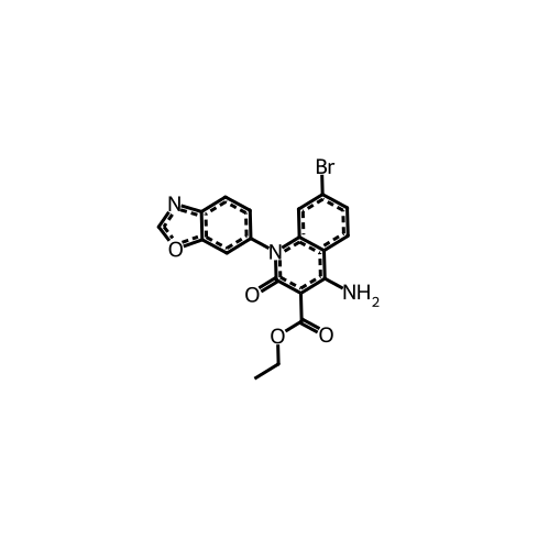 CCOC(=O)c1c(N)c2ccc(Br)cc2n(-c2ccc3ncoc3c2)c1=O